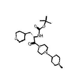 CN1CCC(N2CCN(C(=O)[C@H](CC3CCOCC3)NC(=O)OC(C)(C)C)CC2)CC1